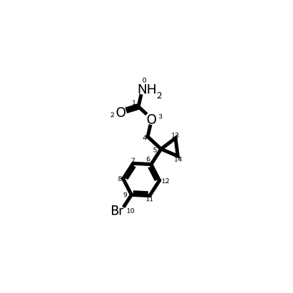 NC(=O)OCC1(c2ccc(Br)cc2)CC1